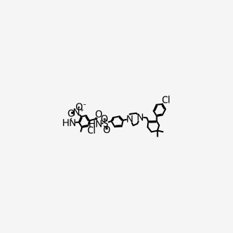 CNc1c([N+](=O)[O-])cc(C(=O)NS(=O)(=O)c2ccc(N3CCN(CC4=C(c5ccc(Cl)cc5)CC(C)(C)CC4)CC3)cc2)c(Cl)c1C